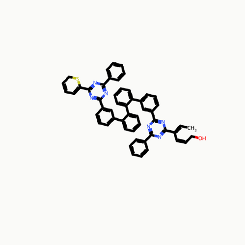 C/C=C(\C=C/CO)c1nc(-c2ccccc2)nc(-c2cccc(-c3ccccc3-c3ccccc3-c3cccc(-c4nc(C5=CC=CCS5)nc(-c5ccccc5)n4)c3)c2)n1